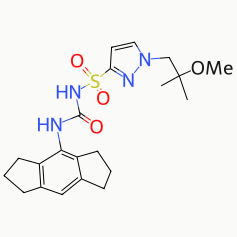 COC(C)(C)Cn1ccc(S(=O)(=O)NC(=O)Nc2c3c(cc4c2CCC4)CCC3)n1